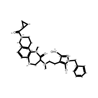 CN1C(=O)C(N(C)CCc2c(C=O)nn(Cc3ccccc3)c2Cl)COc2ccc3c(c21)CCN(C(=O)C1CC1)C3